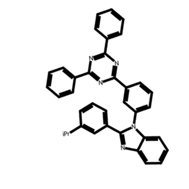 CC(C)c1cccc(-c2nc3ccccc3n2-c2cccc(-c3nc(-c4ccccc4)nc(-c4ccccc4)n3)c2)c1